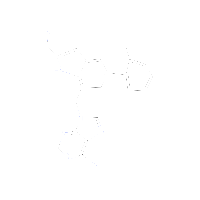 Cc1ccccc1-c1cc(Cn2cnc3c(N)ncnc32)c2[nH]c(CN)cc2c1